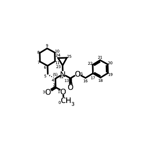 COC(=O)[C@H](CC1CCCCC1)N(C(=O)OCc1ccccc1)C1CC1